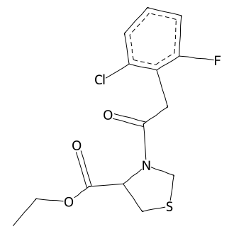 CCOC(=O)C1CSCN1C(=O)Cc1c(F)cccc1Cl